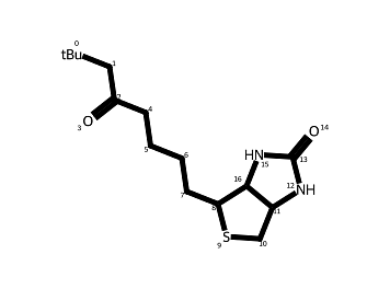 CC(C)(C)CC(=O)CCCCC1SCC2NC(=O)NC21